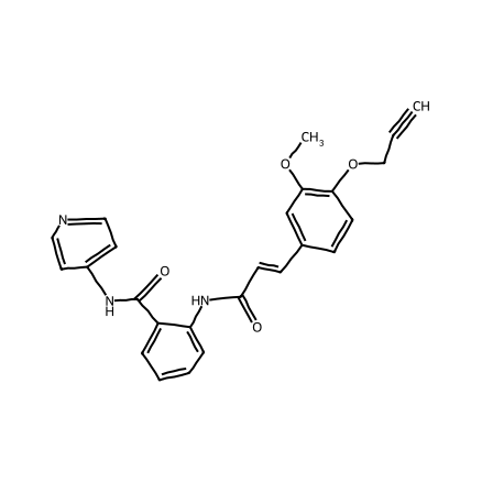 C#CCOc1ccc(C=CC(=O)Nc2ccccc2C(=O)Nc2ccncc2)cc1OC